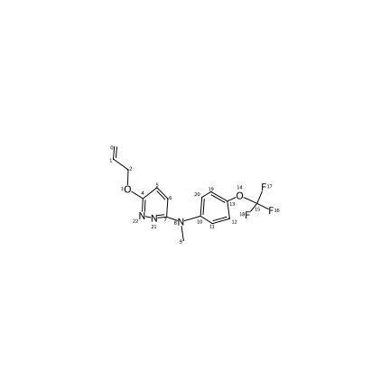 C=CCOc1ccc(N(C)c2ccc(OC(F)(F)F)cc2)nn1